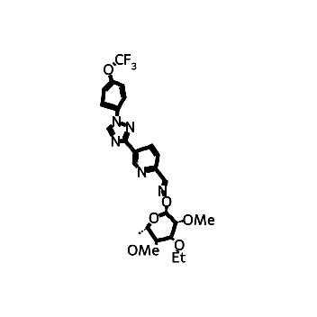 CCO[C@@H]1[C@@H](OC)[C@H](C)O[C@@H](O/N=C/c2ccc(-c3ncn(-c4ccc(OC(F)(F)F)cc4)n3)cn2)[C@@H]1OC